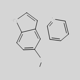 COc1ccc2[nH]ccc2c1.c1ccncc1